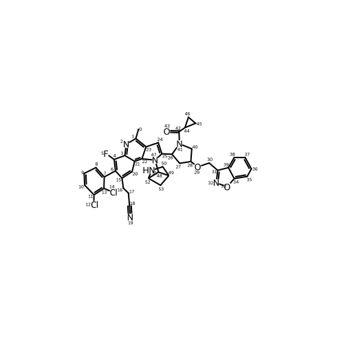 Cc1nc2c(F)c(-c3cccc(Cl)c3Cl)c(CCC#N)cc2c2c1cc(C1CC(OCc3noc4ccccc34)CN1C(=O)C1CC1)n2C1C2CNC1C2